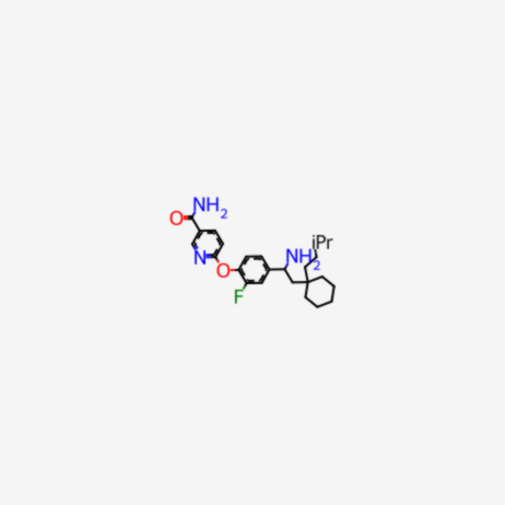 CC(C)CCC1(CC(N)c2ccc(Oc3ccc(C(N)=O)cn3)c(F)c2)CCCCC1